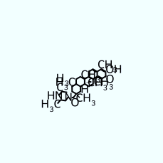 CC[C@@]12CC[C@@]3(C)C4=CC(=O)C(O)=C(C)C4=CC=C3[C@@]1(C)CC[C@@]1(C)CC[C@@](C)(C(=O)N3CC(C)NC(C)C3)C[C@H]12